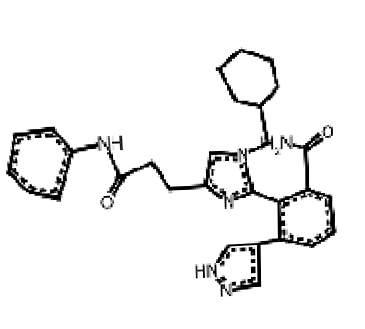 NC(=O)c1cccc(-c2cn[nH]c2)c1-c1nc(CCC(=O)Nc2ccccc2)cn1CC1CCCCC1